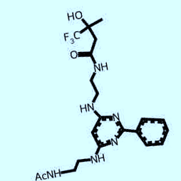 CC(=O)NCCNc1cc(NCCNC(=O)CC(C)(O)C(F)(F)F)nc(-c2ccccc2)n1